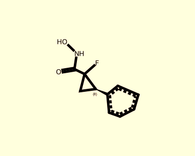 O=C(NO)C1(F)C[C@@H]1c1ccccc1